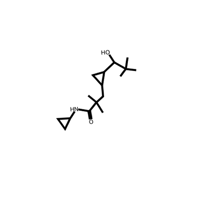 CC(C)(CC1CC1C(O)C(C)(C)C)C(=O)NC1CC1